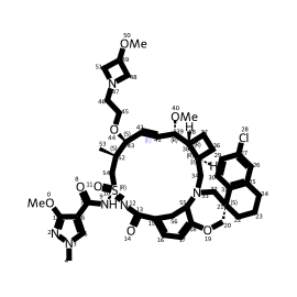 COc1nn(C)cc1C(=O)N[S@@]1(=O)=NC(=O)C2=CC=C3OC[C@]4(CCCc5cc(Cl)ccc54)CN(C[C@@H]4CC[C@H]4[C@@H](OC)/C=C/[C@H](OCCN4CC(OC)C4)[C@H](C)C1)C3C2